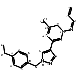 C=C/C=N\N1C=C(c2cnn(Cc3ccc(CC)cc3)c2)N=C(Cl)C1